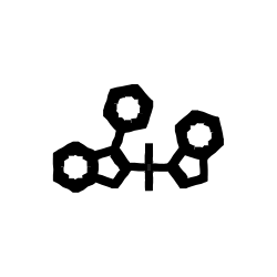 CS(C)(C1=CCc2ccccc21)C1=C(c2ccccc2)c2ccccc2C1